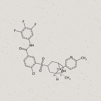 Cc1ccc([C@@]2(O)C3CC(S(=O)(=O)c4cc(C(=O)Nc5cc(F)c(F)c(F)c5)ccc4Cl)C[C@@H]2[C@@H](C)C3)cn1